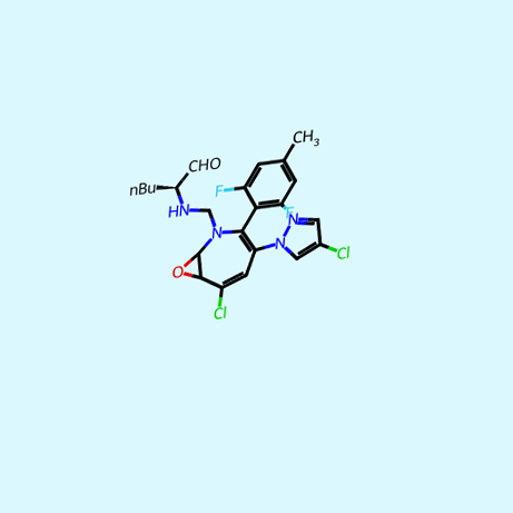 CCCC[C@@H](C=O)NCN1C(c2c(F)cc(C)cc2F)=C(n2cc(Cl)cn2)C=C(Cl)C2OC21